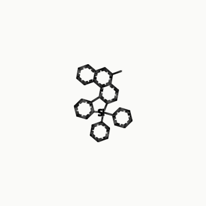 Cc1cc2ccccc2c2c3c(ccc12)[Si](c1ccccc1)(c1ccccc1)c1ccccc1-3